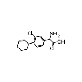 NC(C(=O)O)c1ccc(C2CCCCC2)c(Cl)c1